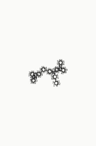 c1ccc(-c2ccc(N(c3ccc(-c4cccc(-c5ccc6c(c5)c5cccc7c8ccccc8n6c75)c4)cc3)c3ccc4c(c3)c3ccccc3n4-c3ccccc3)cc2)cc1